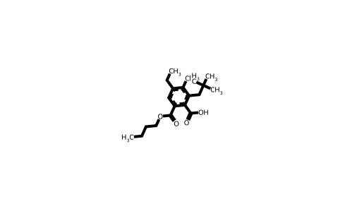 CCCCOC(=O)c1cc(CC)c(Cl)c(CC(C)(C)C)c1C(=O)O